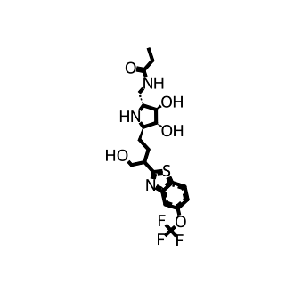 CCC(=O)NC[C@H]1N[C@H](CCC(CO)c2nc3cc(OC(F)(F)F)ccc3s2)[C@@H](O)[C@@H]1O